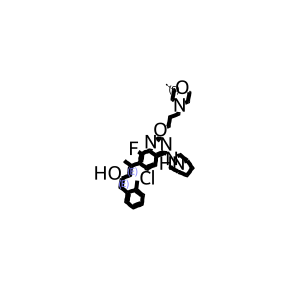 C/C(=C\C(O)=C/c1ccccc1C)c1c(Cl)cc2c(N3CC4CCC(C3)N4)nc(OCCCN3CCO[C@@H](C)C3)nc2c1F